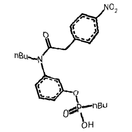 CCCCN(C(=O)Cc1ccc([N+](=O)[O-])cc1)c1cccc(OP(=O)(O)CCCC)c1